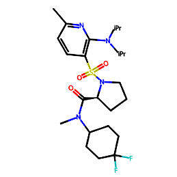 Cc1ccc(S(=O)(=O)N2CCC[C@H]2C(=O)N(C)C2CCC(F)(F)CC2)c(N(C(C)C)C(C)C)n1